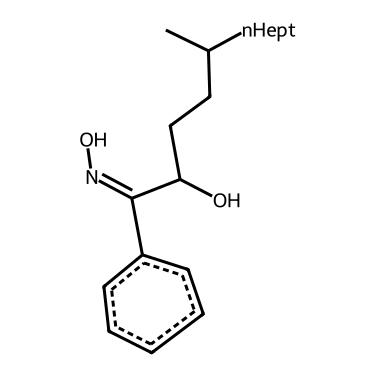 CCCCCCCC(C)CCC(O)C(=NO)c1ccccc1